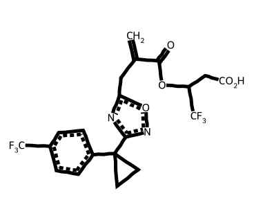 C=C(Cc1nc(C2(c3ccc(C(F)(F)F)cc3)CC2)no1)C(=O)OC(CC(=O)O)C(F)(F)F